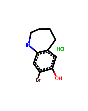 Cl.Oc1cc2c(cc1Br)NCCCC2